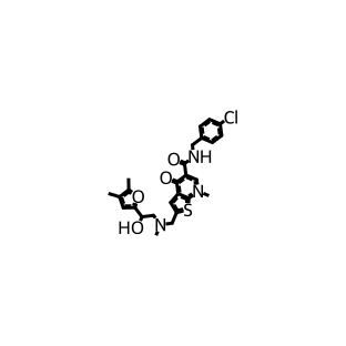 Cc1cc(C(O)CN(C)Cc2cc3c(=O)c(C(=O)NCc4ccc(Cl)cc4)cn(C)c3s2)oc1C